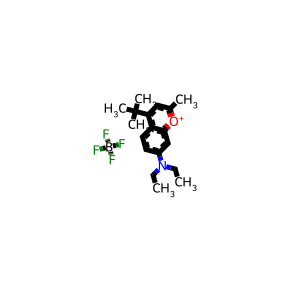 CCN(CC)c1ccc2c(C(C)(C)C)cc(C)[o+]c2c1.F[B-](F)(F)F